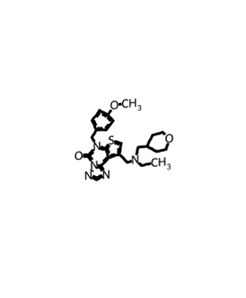 CCN(Cc1csc2c1c1ncnn1c(=O)n2Cc1ccc(OC)cc1)CC1CCOCC1